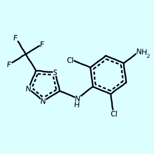 Nc1cc(Cl)c(Nc2nnc(C(F)(F)F)s2)c(Cl)c1